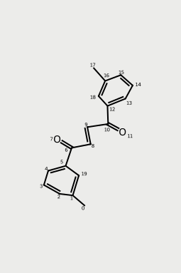 Cc1cccc(C(=O)/C=C/C(=O)c2cccc(C)c2)c1